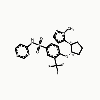 Cn1nccc1[C@H]1CCC[C@@H]1Oc1ccc(S(=O)(=O)Nc2ccncn2)cc1C(F)(F)F